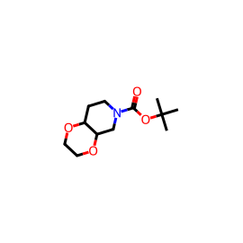 CC(C)(C)OC(=O)N1CCC2OCCOC2C1